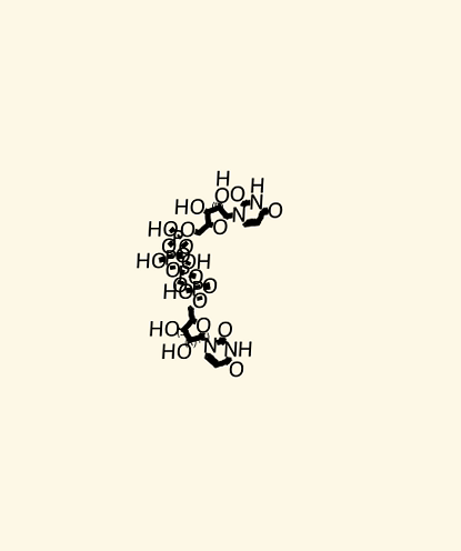 O=c1ccn(C2OC(COP(=O)(O)OP(=O)(O)OP(=O)(O)OP(=O)(O)OCC3O[C@H](n4ccc(=O)[nH]c4=O)[C@H](O)[C@@H]3O)C(O)[C@H]2O)c(=O)[nH]1